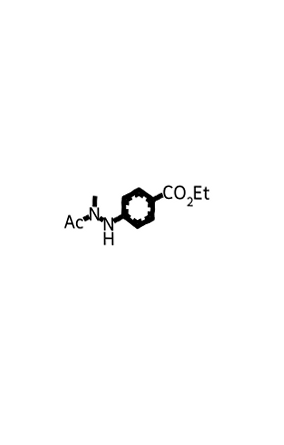 CCOC(=O)c1ccc(NN(C)C(C)=O)cc1